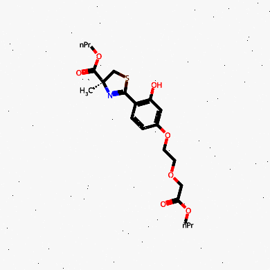 CCCOC(=O)COCCOc1ccc(C2=N[C@@](C)(C(=O)OCCC)CS2)c(O)c1